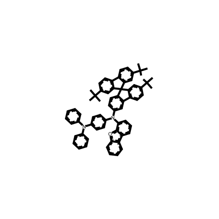 CC(C)(C)c1ccc2c(c1)C1(c3ccc(N(c4ccc(N(c5ccccc5)c5ccccc5)cc4)c4cccc5c4oc4ccccc45)cc3-2)c2cc(C(C)(C)C)ccc2-c2ccc(C(C)(C)C)cc21